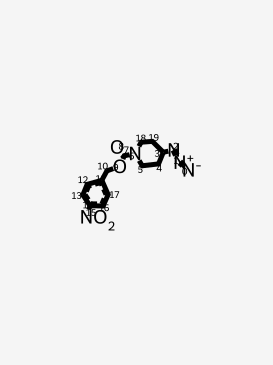 [N-]=[N+]=NC1CCN(C(=O)OCc2ccc([N+](=O)[O-])cc2)CC1